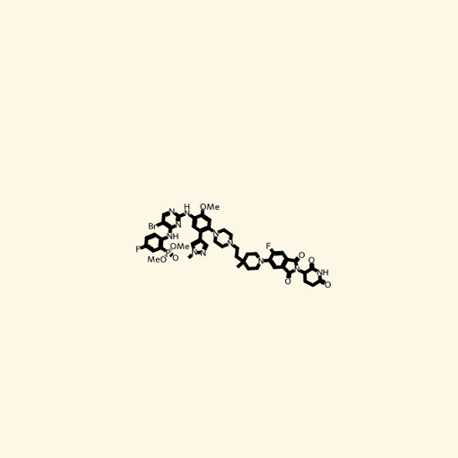 COc1cc(N2CCN(CCC3(C)CCN(c4cc5c(cc4F)C(=O)N(C4CCC(=O)NC4=O)C5=O)CC3)CC2)c(-c2cnn(C)c2)cc1Nc1ncc(Br)c(Nc2ccc(F)cc2P(=O)(OC)OC)n1